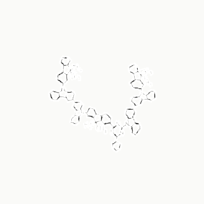 CC1(C)c2ccccc2-c2ccc(-n3c4ccccc4c4cc(-c5ccc6c(c5)c5ccccc5n6-c5ccc6c(c5)C(C)(C)c5cc(-c7nc(-c8ccccc8)nc(-n8c9ccccc9c9cc(-c%10ccc%11c(c%10)c%10ccccc%10n%11-c%10ccc%11c(c%10)C(C)(C)c%10ccccc%10-%11)ccc98)n7)ccc5-6)ccc43)cc21